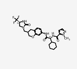 Cn1nccc1C(=O)N[C@H](C(=O)Nc1ccc2c(c1)OCC(CN1C[C@@H](C(F)(F)F)NC1=O)C2)C1CCCCC1